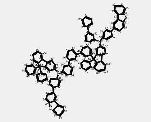 c1ccc(-c2cccc(N(c3ccc(-c4ccc5sc6ccccc6c5c4)cc3)c3ccc4c(c3)C(c3ccccc3)(c3cccc(-c5cccc(-c6cccc(N(c7ccc(-c8ccc9oc%10ccccc%10c9c8)cc7)c7ccc8c(c7)C(c7ccccc7)(c7ccccc7)c7ccccc7-8)c6)c5)c3)c3ccccc3-4)c2)cc1